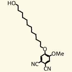 COc1cc(C#N)c(C#N)cc1OCCCCCCCCCCCCO